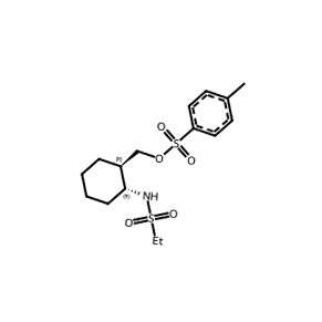 CCS(=O)(=O)N[C@@H]1CCCC[C@H]1COS(=O)(=O)c1ccc(C)cc1